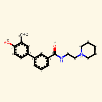 O=Cc1cc(-c2cccc(C(=O)NCCN3CCCCC3)c2)ccc1O